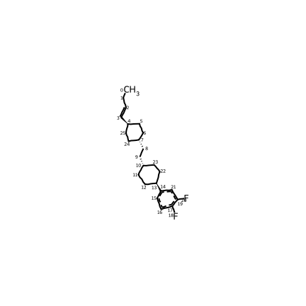 CCC=C[C@H]1CC[C@H](CC[C@H]2CC[C@H](c3ccc(F)c(F)c3)CC2)CC1